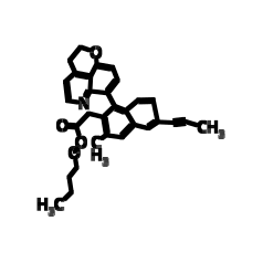 CC#Cc1ccc2c(-c3ccc4c5c(ccnc35)CCO4)c(CC(=O)OOCCCC)c(C)cc2c1